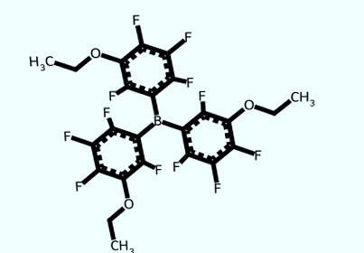 CCOc1c(F)c(F)c(F)c(B(c2c(F)c(F)c(F)c(OCC)c2F)c2c(F)c(F)c(F)c(OCC)c2F)c1F